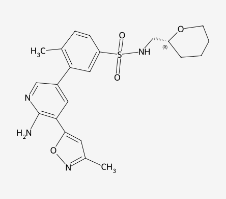 Cc1cc(-c2cc(-c3cc(S(=O)(=O)NC[C@H]4CCCCO4)ccc3C)cnc2N)on1